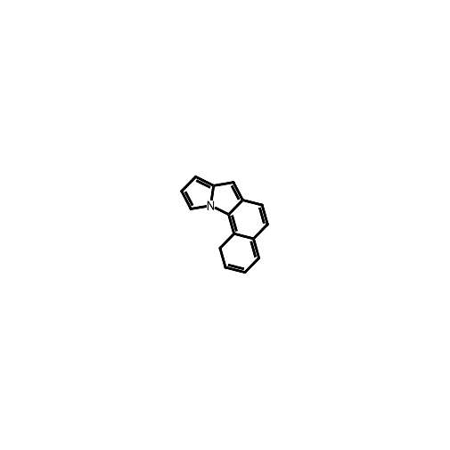 C1=CCc2c(ccc3cc4cccn4c23)=C1